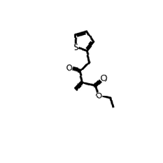 C=C(C(=O)Cc1cccs1)C(=O)OCC